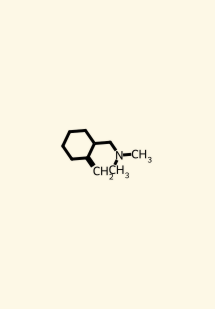 C=C1CCCCC1CN(C)C